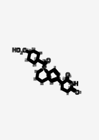 O=C1CCC(c2ccc3c(c2)CCCN3C(=O)C2CCC(C(=O)O)CC2)C(=O)N1